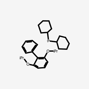 C1CCC([P]C2CCCCC2)CC1.CC(C)Oc1cccc(OC(C)C)c1-c1ccccc1